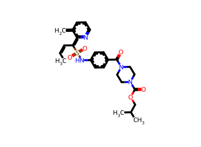 C=c1cccn/c1=C(/C=C\C)S(=O)(=O)Nc1ccc(C(=O)N2CCN(C(=O)OCC(C)C)CC2)cc1